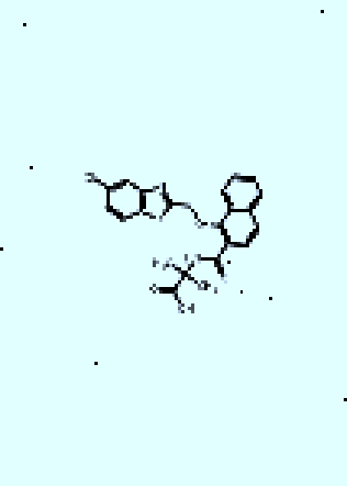 CC(C)(NC(=O)c1ccc2ccccc2c1OCc1nc2cc(Cl)ccc2o1)C(=O)O